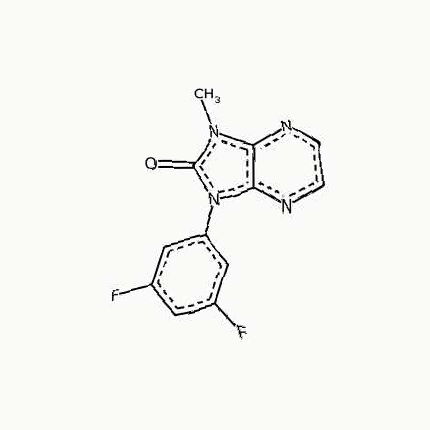 Cn1c(=O)n(-c2cc(F)cc(F)c2)c2nccnc21